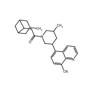 CC1CC(c2ccc(C#N)c3ncccc23)CN(C(=O)CC2C3CC2CN(C)C3)C1